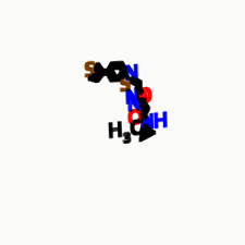 CC1(NC(=O)Cc2nnc(Cc3nc4ccc(-c5ccsc5)cc4s3)o2)CC1